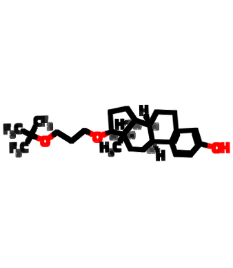 C[C@]12CC[C@@H]3c4ccc(O)cc4CC[C@H]3[C@@H]1CC[C@@H]2OCCCOC(C(F)(F)F)(C(F)(F)F)C(F)(F)F